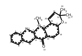 Cn1c2nc3ccccc3cc2c(=O)c2ccc3c(c21)C=CC(C)(C)O3